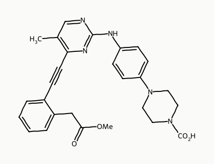 COC(=O)Cc1ccccc1C#Cc1nc(Nc2ccc(N3CCN(C(=O)O)CC3)cc2)ncc1C